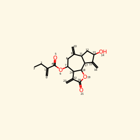 C=C(CC)C(=O)OC1CC(=C)C2CC(O)C(=C)C2C2OC(=O)C(=C)C12